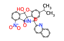 CC(C)c1ccc2c(c1)OC1(O)c3cccc([N+](=O)[O-])c3C(=O)C21NC(=O)c1ccc2ccccc2n1